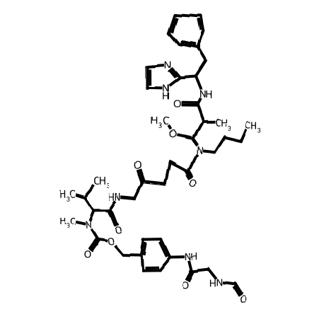 CCCCN(C(=O)CCC(=O)CNC(=O)C(C(C)C)N(C)C(=O)OCc1ccc(NC(=O)CNC=O)cc1)C(OC)C(C)C(=O)NC(Cc1ccccc1)c1ncc[nH]1